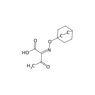 CC(=O)C(=NOC12CCC(CC1)CC2)C(=O)O